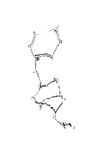 NC1C2CN(Cc3ccccc3)CC12